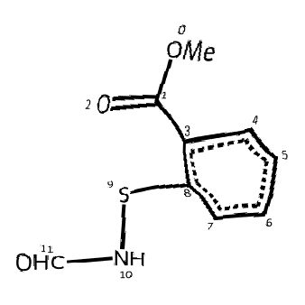 COC(=O)c1ccccc1SNC=O